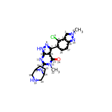 Cn1cc2c(Cl)c(-c3n[nH]c4nc(N5C6CCC5CNC6)n(C)c(=O)c34)ccc2n1